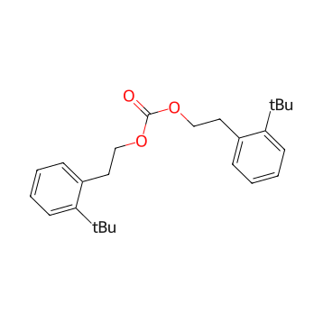 CC(C)(C)c1ccccc1CCOC(=O)OCCc1ccccc1C(C)(C)C